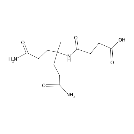 CC(CCC(N)=O)(CCC(N)=O)NC(=O)CCC(=O)O